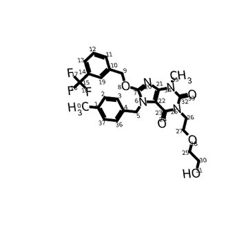 Cc1ccc(Cn2c(OCc3cccc(C(F)(F)F)c3)nc3c2c(=O)n(CCOCCO)c(=O)n3C)cc1